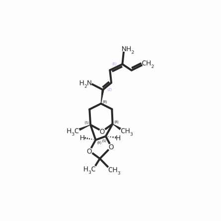 C=C/C(N)=C\C=C(/N)[C@H]1C[C@@]2(C)O[C@@](C)(C1)[C@@H]1OC(C)(C)O[C@@H]12